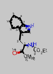 CCOC(=O)N[C@@H](Cc1c[nH]c2ccccc12)C(=O)OC